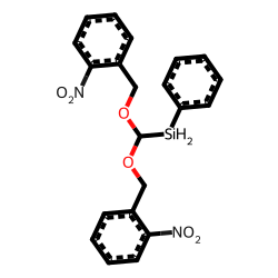 O=[N+]([O-])c1ccccc1COC(OCc1ccccc1[N+](=O)[O-])[SiH2]c1ccccc1